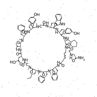 CCCC[C@H]1C(=O)N(C)CC(=O)N[C@@H](CC(=O)O)C(=O)N[C@@H](C(C)C)C(=O)N(C)[C@@H](Cc2ccccc2)C(=O)N[C@@H](Cc2ccc(O)cc2)C(=O)N(C)CC(=O)N[C@@H](Cc2c[nH]c3ccccc23)C(=O)N[C@@H](Cc2ccc(O)cc2)C(=O)N[C@@H](CC2CCCCC2)C(=O)N[C@H](C(=O)NCC(N)=O)CSCC(=O)N[C@@H](Cc2ccccc2)C(=O)N(C)[C@@H](Cc2ccccc2)C(=O)N1C